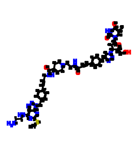 CCCSc1nc(NCCN)c2nnn(Cc3ccc(C#CCNC(=O)C4CCN(CCNC(=O)C#Cc5ccc(-c6cn(C7C[C@@H](n8cc(C)c(=O)[nH]c8=O)O[C@H]7CO)nn6)cc5)CC4)cc3)c2n1